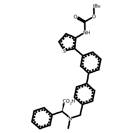 CN(Cc1ccc(-c2cccc(-c3sccc3NC(=O)OC(C)(C)C)c2)cc1)[C@H](C(=O)O)c1ccccc1